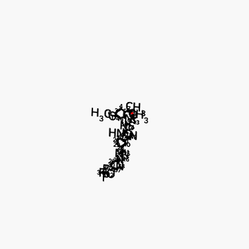 COc1ccc(C(C)C)c(N2C(=O)CSC2=NC(=O)Nc2ccc(-c3ncn(-c4ccc(OC(F)(F)F)cn4)n3)cc2C#N)c1